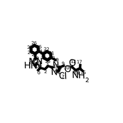 CCCCc1nc(Cl)c(COC(=O)C(N)C(C)C)n1Cc1ccc(-c2ccccc2-c2nn[nH]n2)cc1